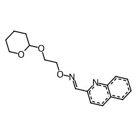 C(=NOCCOC1CCCCO1)c1ccc2ccccc2n1